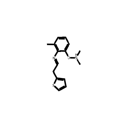 Cc1cccc(O[SiH](C)C)c1N=CCc1cccs1